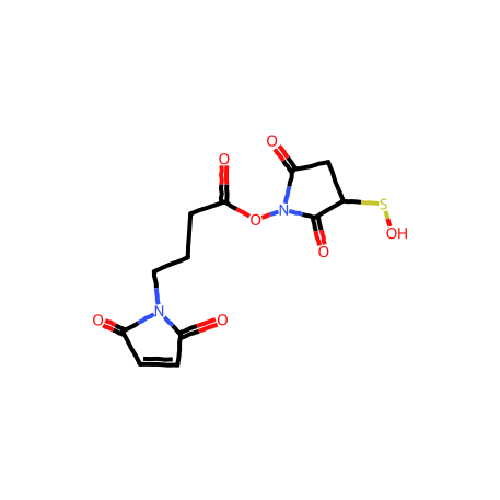 O=C(CCCN1C(=O)C=CC1=O)ON1C(=O)CC(SO)C1=O